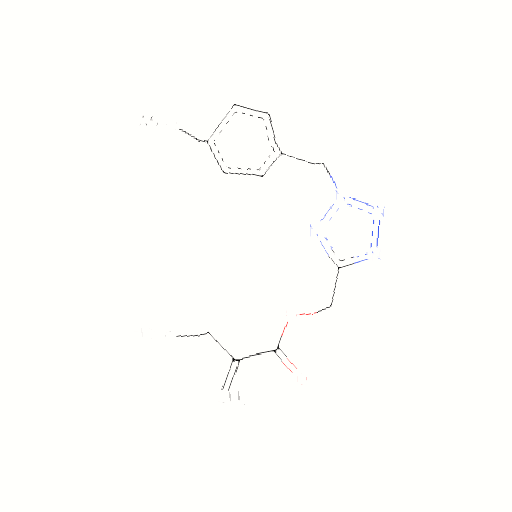 C=C(CC(=O)O)C(=O)OCc1nnn(Cc2ccc(OC)cc2)n1